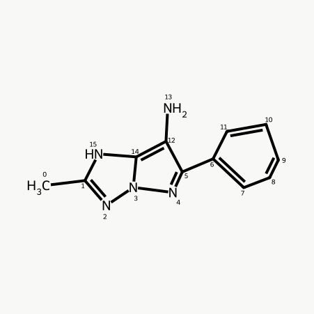 Cc1nn2nc(-c3ccccc3)c(N)c2[nH]1